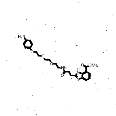 COC(=O)c1cccc2nc(CCC(=O)NCCOCCOCCOc3ccc(N)cc3)[nH]c12